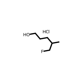 CC(CF)CCCO.Cl